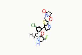 Cc1cc(Cl)cc(-c2ccnc3cc(CN4C(=O)CCC4=O)sc23)c1O[C@H]1CNCC[C@@H]1F